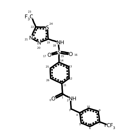 O=C(NCc1ccc(C(F)(F)F)cc1)c1ccc(S(=O)(=O)Nc2nnc(C(F)(F)F)s2)cc1